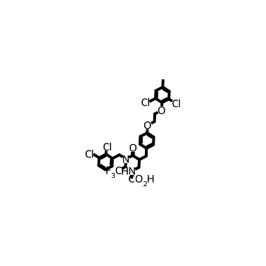 Cc1cc(Cl)c(OCCOc2ccc(CC(CNC(=O)O)C(=O)N(Cc3cccc(Cl)c3Cl)CC(F)(F)F)cc2)c(Cl)c1